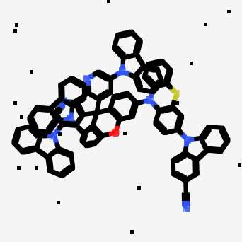 N#Cc1ccc2c(c1)c1ccccc1n2-c1ccc2c(c1)Sc1ccccc1N2c1ccc2c(c1)Oc1cccc(-n3c4ccccc4c4ccccc43)c1C21c2cc(-n3c4ccccc4c4ccccc43)cnc2-c2ncc(-n3c4ccccc4c4ccccc43)cc21